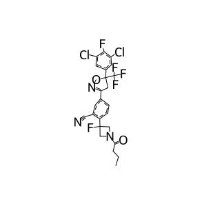 CCCC(=O)N1CC(F)(c2ccc(C3=NOC(c4cc(Cl)c(F)c(Cl)c4)(C(F)(F)F)C3)cc2C#N)C1